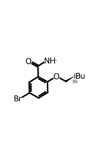 CC[C@H](C)COc1ccc(Br)cc1C([NH])=O